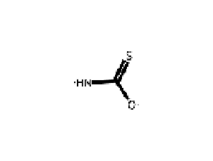 [NH]C([O])=S